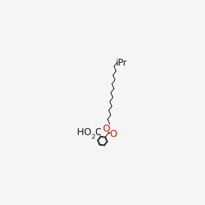 CC(C)CCCCCCCCCCCCCCOC(=O)c1ccccc1C(=O)O